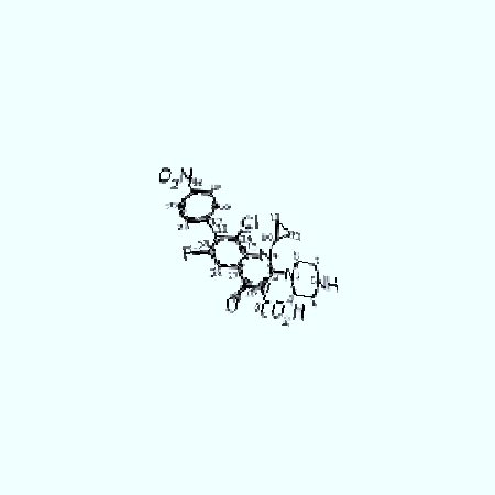 O=C(O)c1c(N2CCNCC2)n(C2CC2)c2c(Cl)c(-c3ccc([N+](=O)[O-])cc3)c(F)cc2c1=O